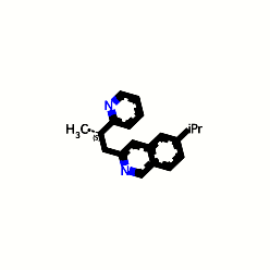 CC(C)c1ccc2cnc(C[C@H](C)c3ccccn3)cc2c1